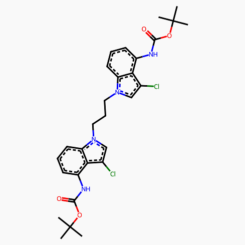 CC(C)(C)OC(=O)Nc1cccc2c1c(Cl)cn2CCCn1cc(Cl)c2c(NC(=O)OC(C)(C)C)cccc21